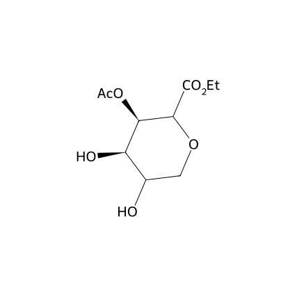 CCOC(=O)C1OCC(O)[C@@H](O)[C@H]1OC(C)=O